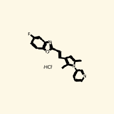 Cc1cc(C=Cc2nc3cc(F)ccc3o2)c(C)n1-c1cccnc1.Cl